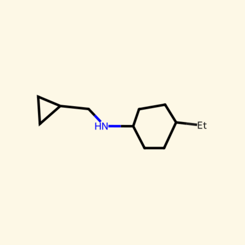 CCC1CCC(NCC2CC2)CC1